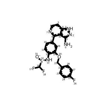 Nc1n[nH]c2ccnc(-c3ccc(N[S+]([O-])C(F)F)c(OCc4ccc(F)cc4)c3)c12